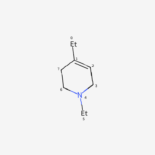 CCC1=CCN(CC)CC1